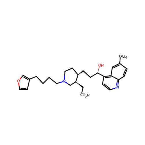 COc1ccc2nccc([C@@H](O)CC[C@@H]3CCN(CCCCc4ccoc4)C[C@@H]3CC(=O)O)c2c1